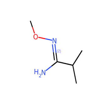 CO/N=C(\N)C(C)C